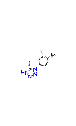 CC(C)c1ccc(-n2nn[nH]c2=O)cc1F